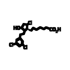 O=C(O)CCCCCC[C@H]1C(Cl)C[C@@H](O)C1CCc1cc(Cl)cc(Cl)c1